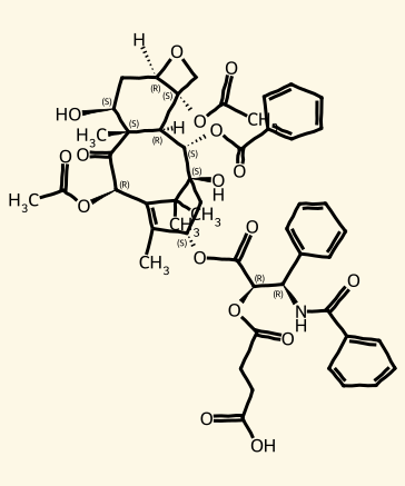 CC(=O)O[C@H]1C(=O)[C@@]2(C)[C@H]([C@H](OC(=O)c3ccccc3)[C@]3(O)C[C@H](OC(=O)[C@H](OC(=O)CCC(=O)O)[C@H](NC(=O)c4ccccc4)c4ccccc4)C(C)=C1C3(C)C)[C@]1(OC(C)=O)CO[C@@H]1C[C@@H]2O